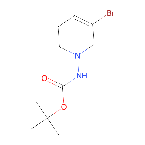 CC(C)(C)OC(=O)NN1CCC=C(Br)C1